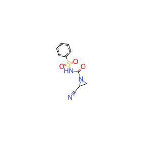 N#CC1CN1C(=O)NS(=O)(=O)c1ccccc1